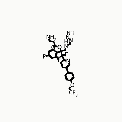 N=N/N=C\NCC(OC(=O)CCN)(c1ccc(F)cc1F)C(F)(F)c1ccc(-c2ccc(OCC(F)(F)F)cc2)cn1